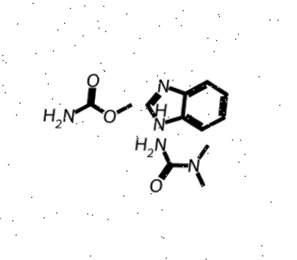 CN(C)C(N)=O.COC(N)=O.c1ccc2[nH]cnc2c1